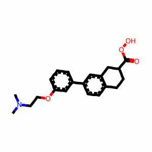 CN(C)CCOc1cccc(-c2ccc3c(c2)CC(C(=O)OO)CC3)c1